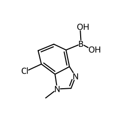 Cn1cnc2c(B(O)O)ccc(Cl)c21